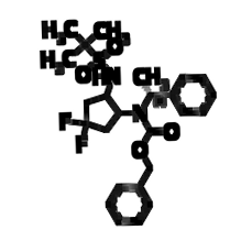 C[C@H](c1ccccc1)N(C(=O)OCc1ccccc1)C1CC(F)(F)CC1NS(=O)(=O)C(C)(C)C